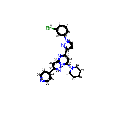 Brc1cccc(-n2ccc(-c3cc(N4CCCCC4)n4nc(-c5ccncc5)cc4n3)n2)c1